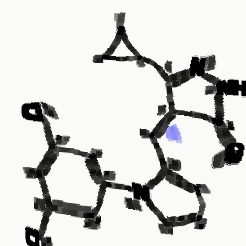 O=C1NN=C(C2CC2)/C1=C/c1cccn1-c1cc(Cl)cc(Cl)c1